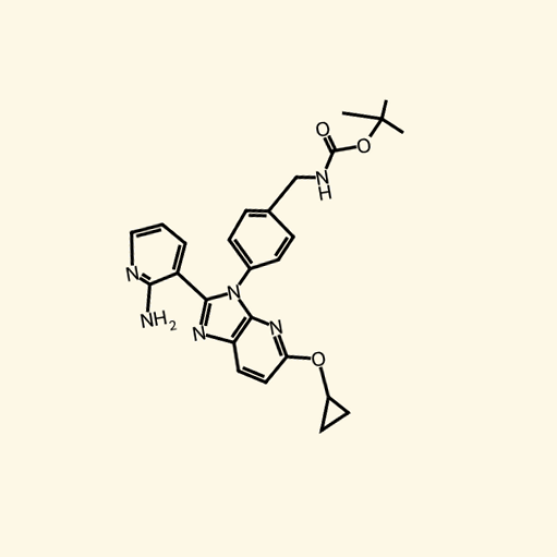 CC(C)(C)OC(=O)NCc1ccc(-n2c(-c3cccnc3N)nc3ccc(OC4CC4)nc32)cc1